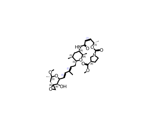 COC(=O)[C@@H]1CCN(C(=O)O[C@@H](C)/C=C\C(=O)N[C@@H]2C[C@H](C)[C@H](C/C=C(C)/C=C/C3O[C@](C)(OC)C[C@@]4(CO4)[C@@H]3O)O[C@@H]2C)C1